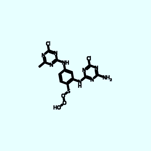 Cc1nc(Cl)nc(Nc2ccc(SOOO)c(Nc3nc(N)nc(Cl)n3)c2)n1